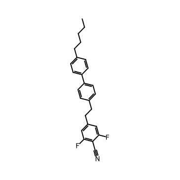 CCCCCc1ccc(-c2ccc(CCc3cc(F)c(C#N)c(F)c3)cc2)cc1